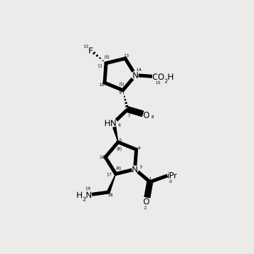 CC(C)C(=O)N1C[C@H](NC(=O)[C@@H]2C[C@H](F)CN2C(=O)O)C[C@@H]1CN